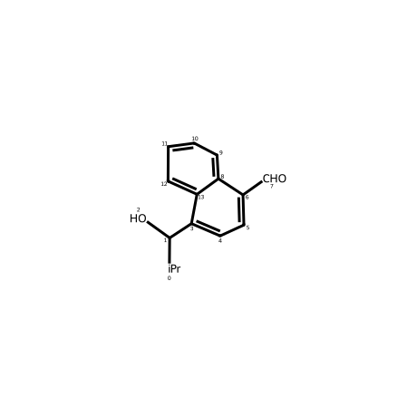 CC(C)C(O)c1ccc(C=O)c2ccccc12